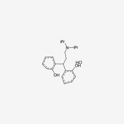 CC(C)N(CCC(c1ccccc1O)c1ccccc1O)C(C)C.Cl